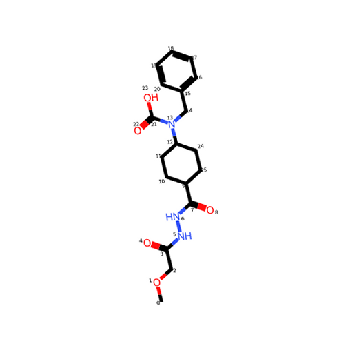 COCC(=O)NNC(=O)C1CCC(N(Cc2ccccc2)C(=O)O)CC1